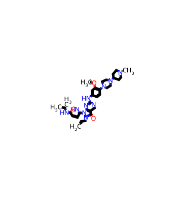 C=CCn1c(=O)c2cnc(Nc3ccc(N4CCN(C5CCN(C)CC5)CC4)c(OC)c3)nc2n1C(=N)/C=C\C(=O)NC(C)C